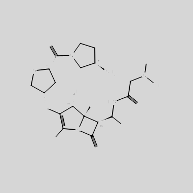 CC(NC(=O)CN(C)C)[C@H]1C(=O)N2C(C(=O)O)=C(S[C@@H]3CN[C@H](C(=O)N4CC[C@@H](N)C4)C3)[C@H](C)[C@H]12